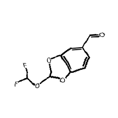 O=Cc1ccc2c(c1)OC(OC(F)F)O2